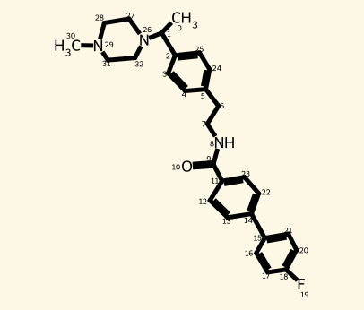 CC(c1ccc(CCNC(=O)c2ccc(-c3ccc(F)cc3)cc2)cc1)N1CCN(C)CC1